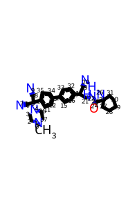 CN1CCN(C(C#N)(C#N)c2ccc(-c3ccc(C(C#N)CNC(=O)C4(N)CCCCC4)cc3)cc2)CC1